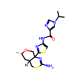 CC(C)n1cnc(C(=O)Nc2csc(C34CO[C@@H](C)C[C@H]3CSC(N)=N4)n2)c1